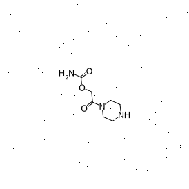 NC(=O)OCC(=O)N1CCNCC1